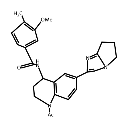 COc1cc(C(=O)NC2CCN(C(C)=O)c3ccc(-c4cn5c(n4)CCC5)cc32)ccc1C